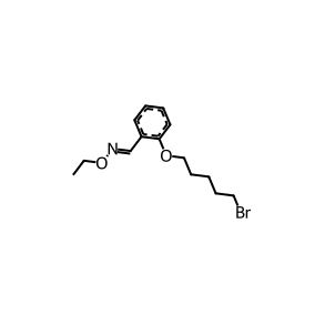 CCON=Cc1ccccc1OCCCCCBr